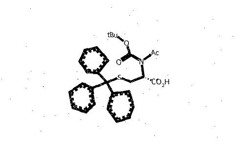 CC(=O)N(C(=O)OC(C)(C)C)[C@@H](CSC(c1ccccc1)(c1ccccc1)c1ccccc1)C(=O)O